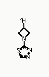 [2H]C1CN(c2nncs2)C1